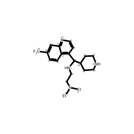 CCN(CC)CCNC(c1ccnc2cc(C(F)(F)F)ccc12)C1CCNCC1